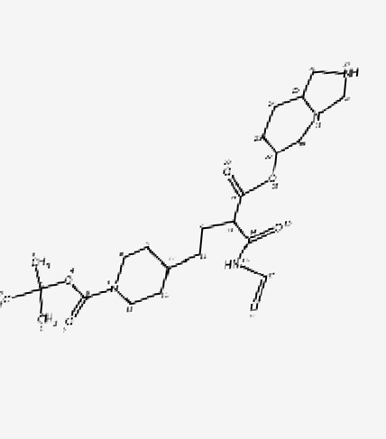 CC(C)(C)OC(=O)N1CCC(CCC(C(=O)NC=O)C(=O)OC2CCC3CNCN3C2)CC1